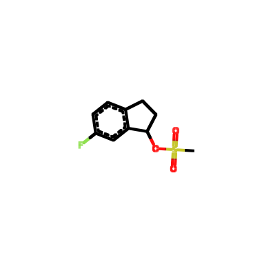 CS(=O)(=O)OC1CCc2ccc(F)cc21